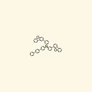 c1ccc(-c2ccc(-c3ccc(N(c4cccc(-c5ccc6oc7ccccc7c6c5)c4)c4cccc(-c5cccc6c5oc5ccccc56)c4)cc3)cc2)cc1